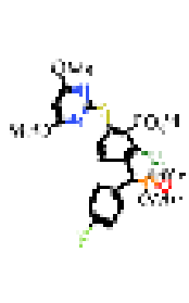 COc1cc(OC)nc(Sc2ccc(C(c3ccc(F)cc3)P(=O)(OC)OC)c(Cl)c2C(=O)O)n1